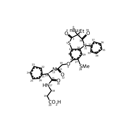 CCCCC1(CC)C(=O)Sc2cc(OCC(=O)N[C@@H](C(=O)NCCC(=O)O)c3ccccc3)c(SC)cc2N(c2ccccc2)C1=O